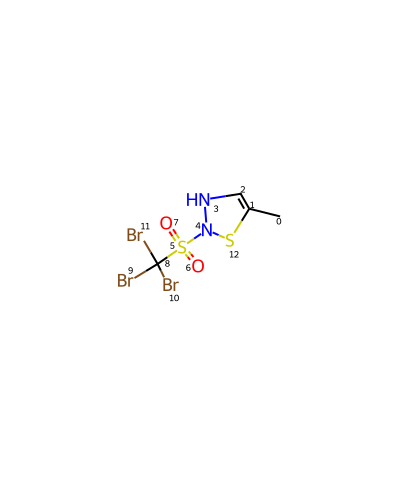 CC1=CNN(S(=O)(=O)C(Br)(Br)Br)S1